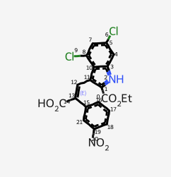 CCOC(=O)c1[nH]c2cc(Cl)cc(Cl)c2c1/C=C(/C(=O)O)c1cccc([N+](=O)[O-])c1